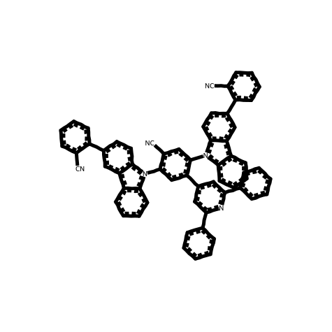 N#Cc1ccccc1-c1ccc2c(c1)c1ccccc1n2-c1cc(-c2cc(-c3ccccc3)nc(-c3ccccc3)c2)c(-n2c3ccccc3c3cc(-c4ccccc4C#N)ccc32)cc1C#N